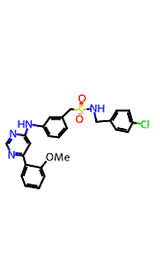 COc1ccccc1-c1cc(Nc2cccc(CS(=O)(=O)NCc3ccc(Cl)cc3)c2)ncn1